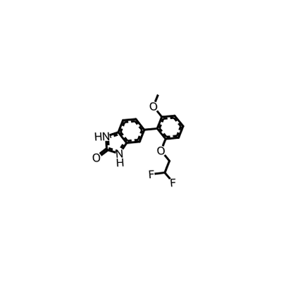 COc1cccc(OCC(F)F)c1-c1ccc2[nH]c(=O)[nH]c2c1